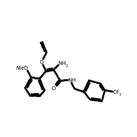 C=CO/C(=C(\N)C(=O)NCc1ccc(C(F)(F)F)cc1)c1ccccc1OC